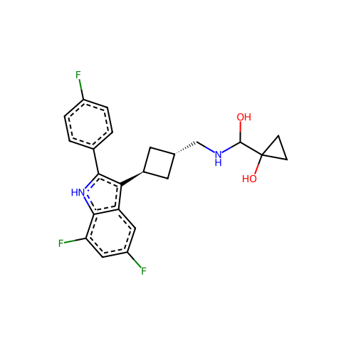 OC(NC[C@H]1C[C@H](c2c(-c3ccc(F)cc3)[nH]c3c(F)cc(F)cc32)C1)C1(O)CC1